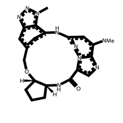 CNc1cc2nn3c(cnc13)C(=O)N[C@@H]1CCC[C@@H]1OCc1cc(c3c(c1)nnn3C)N2